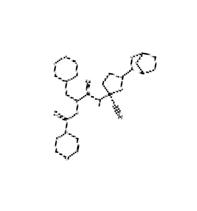 N#CC1(NC(=O)C(CC(=O)N2CCOCC2)CC2CCCCC2)CCN(C2CC3CCC2C3)C1